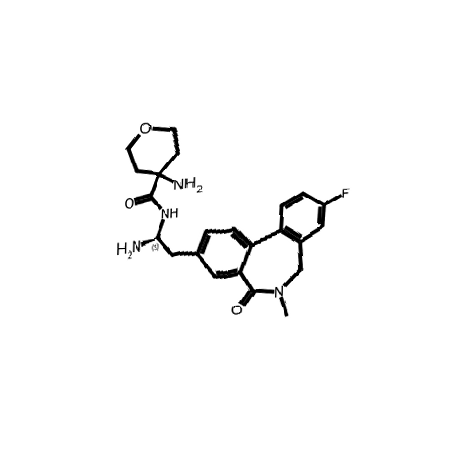 CN1Cc2cc(F)ccc2-c2ccc(C[C@@H](N)NC(=O)C3(N)CCOCC3)cc2C1=O